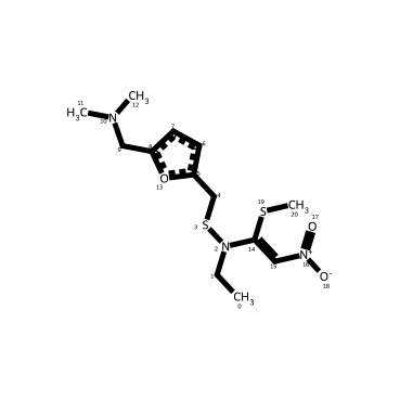 CCN(SCc1ccc(CN(C)C)o1)/C(=C/[N+](=O)[O-])SC